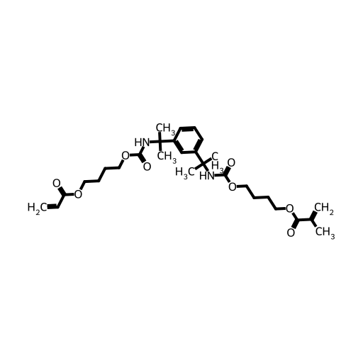 C=CC(=O)OCCCCOC(=O)NC(C)(C)c1cccc(C(C)(C)NC(=O)OCCCCOC(=O)C(=C)C)c1